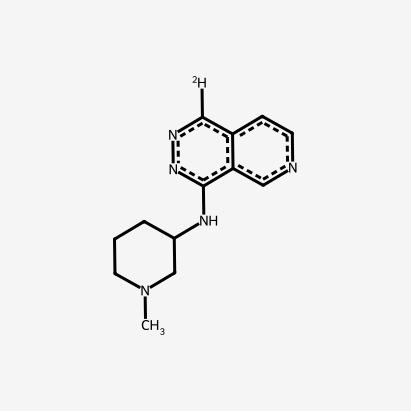 [2H]c1nnc(NC2CCCN(C)C2)c2cnccc12